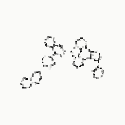 c1ccc(-n2ccc3c4cccc5c4c4c(cccc4n5-c4nc(-c5ccc(-c6ccc7ccccc7c6)cc5)c5ccccc5n4)c32)cc1